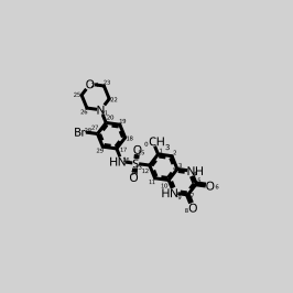 Cc1cc2[nH]c(=O)c(=O)[nH]c2cc1S(=O)(=O)Nc1ccc(N2CCOCC2)c(Br)c1